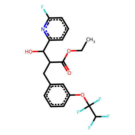 CCOC(=O)C(Cc1cccc(OC(F)(F)C(F)F)c1)C(O)c1cccc(F)n1